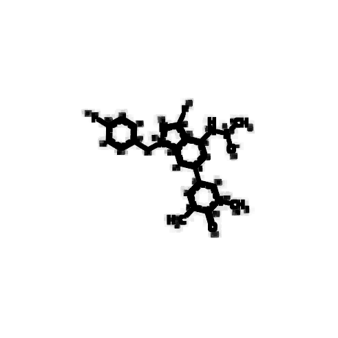 Cc1cc(-c2cc(N[S+](C)[O-])c3c(F)nn(Cc4ccc(F)cc4)c3c2)cn(C)c1=O